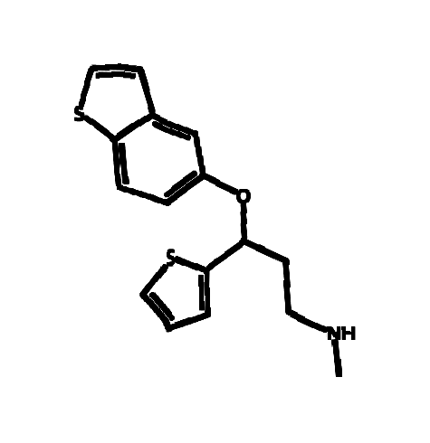 CNCCC(Oc1ccc2sccc2c1)c1cccs1